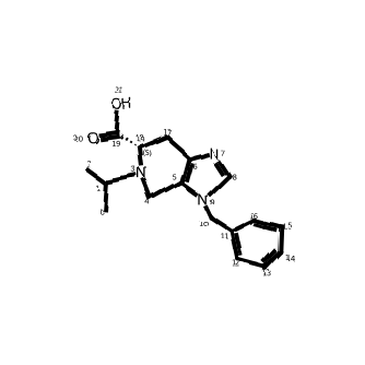 CC(C)N1Cc2c(ncn2Cc2ccccc2)C[C@H]1C(=O)O